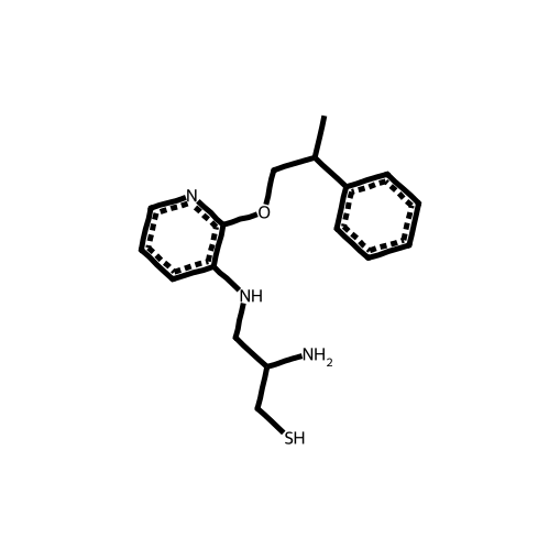 CC(COc1ncccc1NCC(N)CS)c1ccccc1